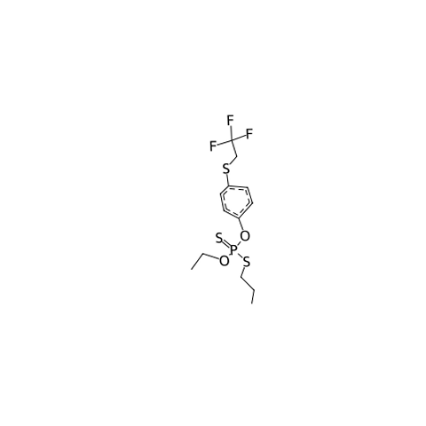 CCCSP(=S)(OCC)Oc1ccc(SCC(F)(F)F)cc1